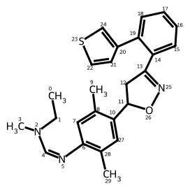 CCN(C)/C=N\c1cc(C)c(C2CC(c3ccccc3-c3ccsc3)=NO2)cc1C